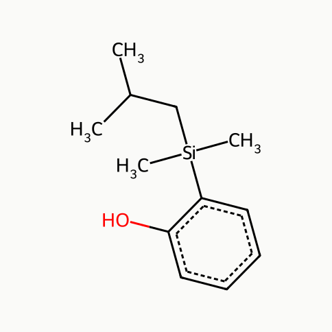 CC(C)C[Si](C)(C)c1ccccc1O